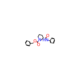 O=C(Nc1ccccc1)[C@H]1CCCN(C(=O)OCc2ccccc2)C1